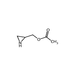 CC(=O)OCC1CN1